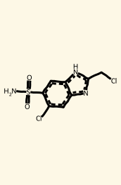 NS(=O)(=O)c1cc2[nH]c(CCl)nc2cc1Cl